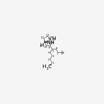 CCCCCC(CCI)C1C[C@H]2CC[C@@H](C1)N2